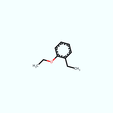 CCOc1cc[c]cc1CC